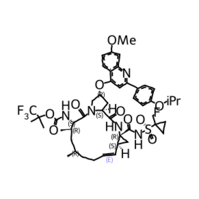 COc1ccc2c(O[C@@H]3C[C@H]4C(=O)N[C@]5(C(=O)NS(=O)(=O)C6(CF)CC6)C[C@H]5/C=C/CC[C@@H](C)C[C@@H](C)[C@H](NC(=O)OC(C)(C)C(F)(F)F)C(=O)N4C3)cc(-c3ccc(OC(C)C)cc3)nc2c1